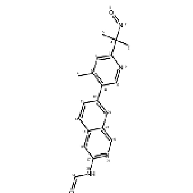 Cc1cc(C(C)(C)N=O)ncc1-c1ccc2cc(NC=O)ncc2c1